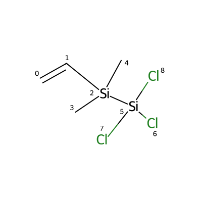 C=C[Si](C)(C)[Si](Cl)(Cl)Cl